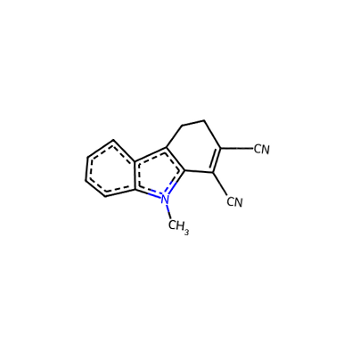 Cn1c2c(c3ccccc31)CCC(C#N)=C2C#N